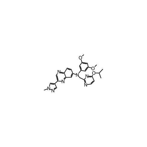 COc1cc(OC)cc(N(Cc2nccc(OC(C)C)n2)c2ccc3ncc(-c4cnn(C)c4)nc3c2)c1